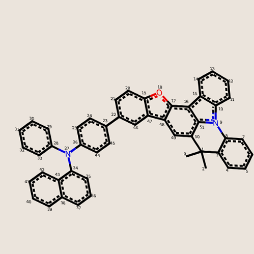 CC1(C)c2ccccc2-n2c3ccccc3c3c4oc5ccc(-c6ccc(N(c7ccccc7)c7cccc8ccccc78)cc6)cc5c4cc1c32